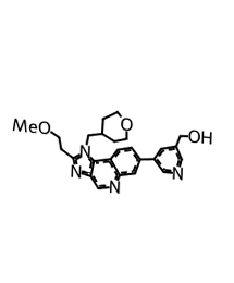 COCCc1nc2cnc3cc(-c4cncc(CO)c4)ccc3c2n1CC1CCOCC1